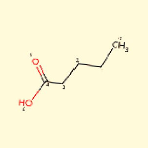 CC[CH]CC(=O)O